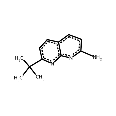 CC(C)(C)c1ccc2ccc(N)nc2n1